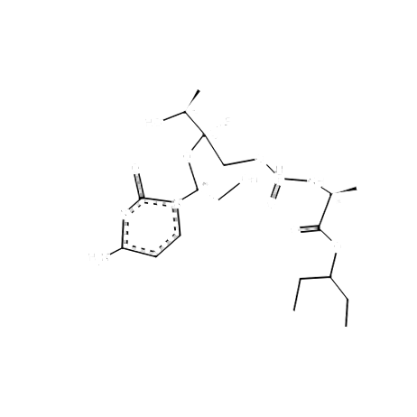 CCC(CC)OC(=O)[C@H](C)N[PH](=O)OC[C@@](F)(O[C@H](CO)n1ccc(N)nc1=O)[C@H](C)O